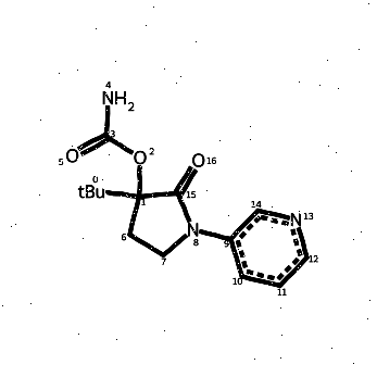 CC(C)(C)C1(OC(N)=O)CCN(c2cccnc2)C1=O